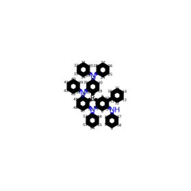 c1ccc(Nc2cc3c(cc2-c2ccccc2)B2c4ccc(N(c5ccccc5)c5ccccc5)cc4N(c4ccccc4)c4cccc(c42)N3c2ccccc2)cc1